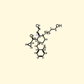 O=C/C=C1\C(SSCCO)CCN(Cc2ccccc2F)C1C(=O)C1CC1